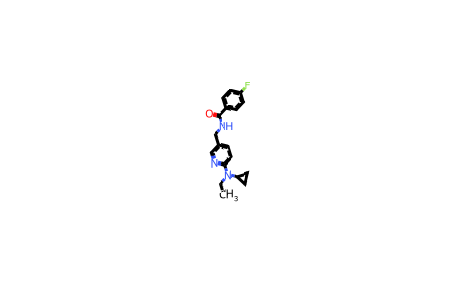 CCN(c1ccc(CNC(=O)c2ccc(F)cc2)cn1)C1CC1